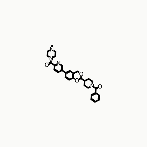 CN1CCN(C(=O)c2ccc(-c3ccc4c(c3)COC(C3CCN(C(=O)c5ccccc5)CC3)O4)cn2)CC1